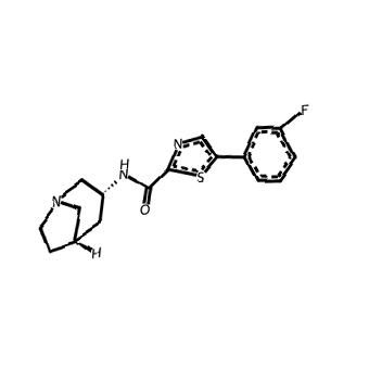 O=C(N[C@@H]1C[C@@H]2CCN(C2)C1)c1ncc(-c2cccc(F)c2)s1